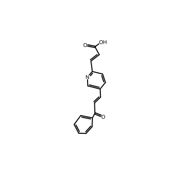 O=C(O)/C=C/c1ccc(/C=C/C(=O)c2ccccc2)cn1